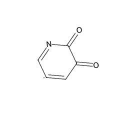 O=C1C=[C]C=NC1=O